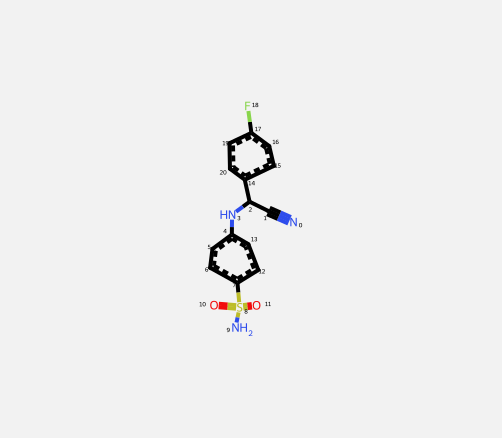 N#CC(Nc1ccc(S(N)(=O)=O)cc1)c1ccc(F)cc1